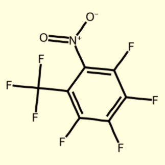 O=[N+]([O-])c1c(F)c(F)c(F)c(F)c1C(F)(F)F